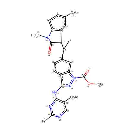 COc1ccc2c(c1)[C@]1(C[C@H]1c1ccc3c(Nc4nc(C(C)C)ncc4OC)nn(C(=O)OC(C)(C)C)c3c1)C(=O)N2C(=O)O